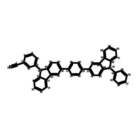 N#Cc1cccc(-n2c3ccccc3c3cc(-c4ccc(-c5ccc6c(c5)c5ccccc5n6-c5ccccc5)cc4)ccc32)c1